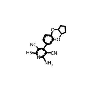 N#Cc1c(N)nc(S)c(C#N)c1-c1ccc(O[C@H]2CCC[C@H]2O)cc1